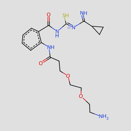 N=C(/N=C(\S)NC(=O)c1ccccc1NC(=O)CCOCCOCCN)C1CC1